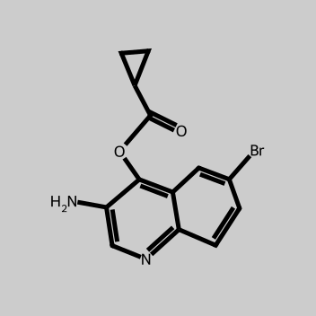 Nc1cnc2ccc(Br)cc2c1OC(=O)C1CC1